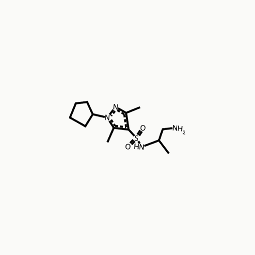 Cc1nn(C2CCCC2)c(C)c1S(=O)(=O)NC(C)CN